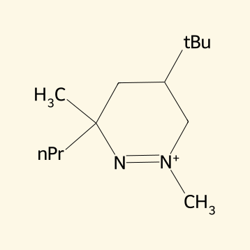 CCCC1(C)CC(C(C)(C)C)C[N+](C)=N1